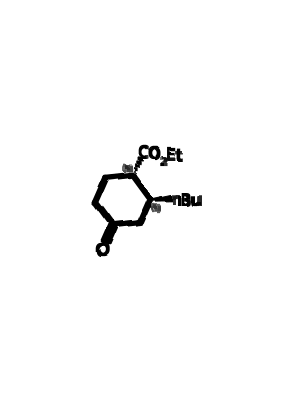 CCCC[C@H]1CC(=O)CC[C@@H]1C(=O)OCC